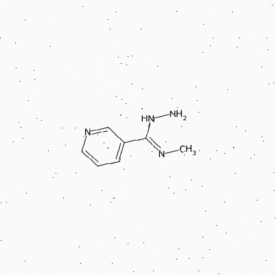 CN=C(NN)c1cccnc1